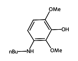 CCCCNc1ccc(OC)c(O)c1OC